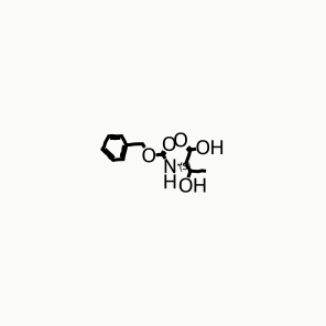 CC(O)[C@H](NC(=O)OCc1ccccc1)C(=O)O